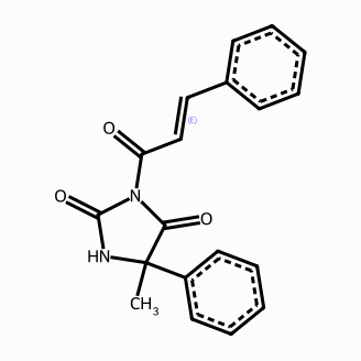 CC1(c2ccccc2)NC(=O)N(C(=O)/C=C/c2ccccc2)C1=O